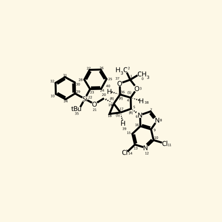 CC1(C)O[C@H]2[C@H](n3cnc4c(Cl)nc(Cl)cc43)[C@H]3C[C@@]3(CO[Si](c3ccccc3)(c3ccccc3)C(C)(C)C)[C@H]2O1